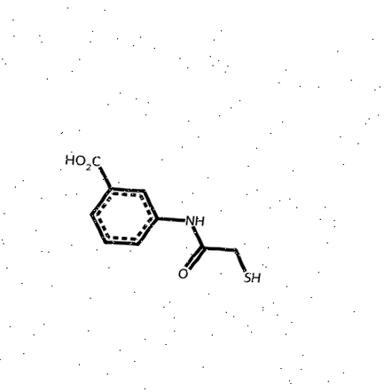 O=C(CS)Nc1cccc(C(=O)O)c1